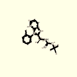 Cc1ccccc1-n1c([C@H](C)NC(=O)OC(C)(C)C)nc2cccnc21